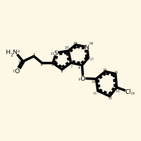 NC(=O)CCc1cc2c(Oc3ccc(Cl)cc3)cncc2s1